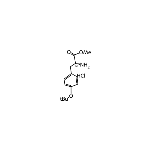 COC(=O)[C@@H](N)Cc1ccc(OC(C)(C)C)cc1.Cl